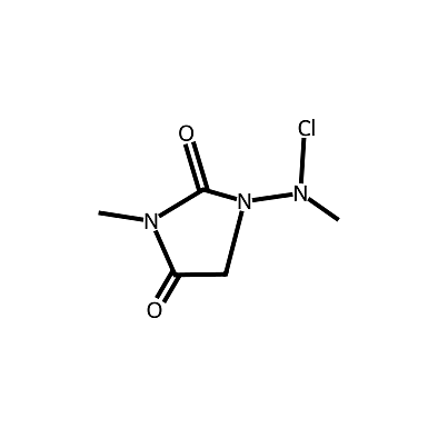 CN1C(=O)CN(N(C)Cl)C1=O